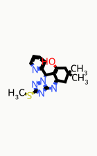 CSc1nc2n(n1)C(c1ccccn1)C1=C(O)CC(C)(C)CC1=N2